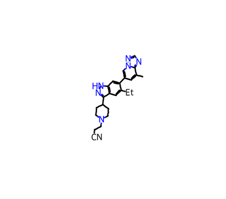 CCc1cc2c(C3CCN(CCC#N)CC3)n[nH]c2cc1-c1cc(C)c2ncnn2c1